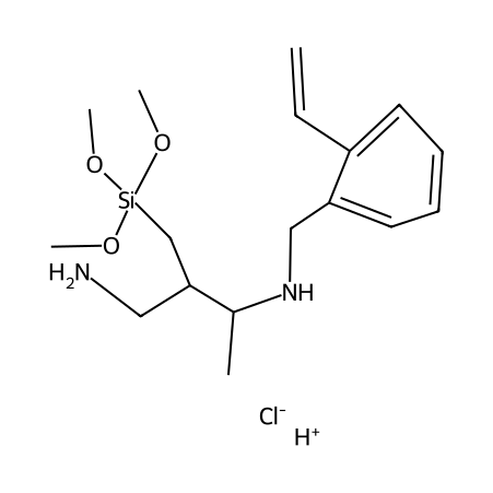 C=Cc1ccccc1CNC(C)C(CN)C[Si](OC)(OC)OC.[Cl-].[H+]